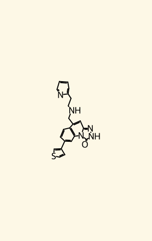 O=c1[nH]nc2cc(CNCCc3ccccn3)c3ccc(-c4ccsc4)cc3n12